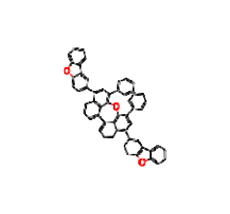 C1=C(c2cc(-c3ccccc3)c3oc4c(-c5ccccc5)cc(-c5ccc6oc7ccccc7c6c5)c5cccc(c6cccc2c36)c54)CCc2oc3ccccc3c21